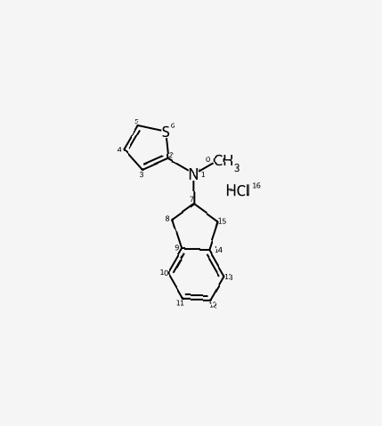 CN(c1cccs1)C1Cc2ccccc2C1.Cl